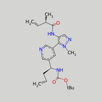 C=CC[C@H](NC(=O)OC(C)(C)C)c1cncc(-c2c(NC(=O)[C@H](C)C=C)cnn2C)c1